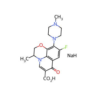 CC1COc2c(N3CCN(C)CC3)c(F)cc3c(=O)c(C(=O)O)cn1c23.[NaH]